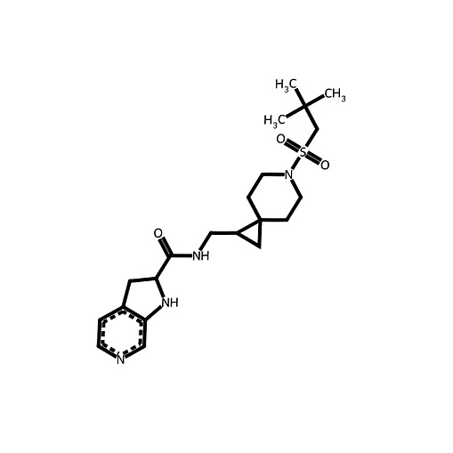 CC(C)(C)CS(=O)(=O)N1CCC2(CC1)CC2CNC(=O)C1Cc2ccncc2N1